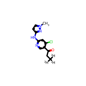 [2H]C([2H])([2H])CC(=O)c1cnc(Nc2ccn(C)n2)cc1Cl